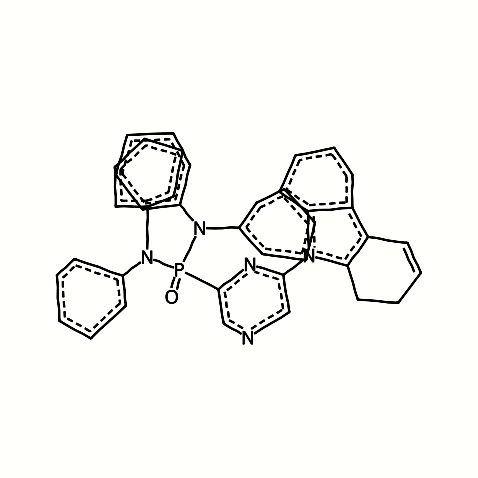 O=P(c1cncc(-n2c3c(c4ccccc42)C=CCC3)n1)(N(c1ccccc1)c1ccccc1)N(c1ccccc1)c1ccccc1